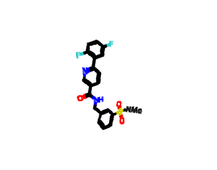 CNS(=O)(=O)c1cccc(CNC(=O)c2ccc(-c3cc(F)ccc3F)nc2)c1